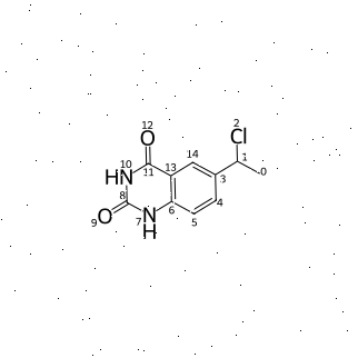 CC(Cl)c1ccc2[nH]c(=O)[nH]c(=O)c2c1